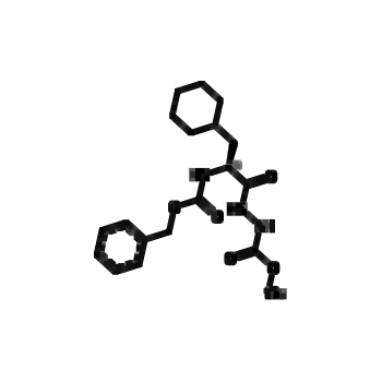 CC(C)(C)OC(=O)NNC(=O)[C@H](CC1CCCCC1)NC(=O)OCc1ccccc1